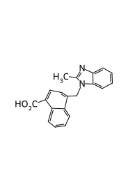 Cc1nc2ccccc2n1Cc1ccc(C(=O)O)c2ccccc12